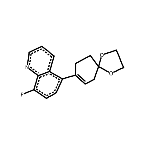 Fc1ccc(C2=CCC3(CC2)OCCO3)c2cccnc12